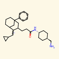 NC[C@H]1CC[C@H](NC(=O)CCC2CC3(c4ccccc4)CCCC(C3)/C2=C\C2CC2)CC1